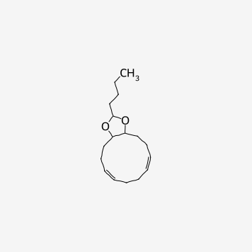 CCCCC1OC2CCC=CCCC=CCCC2O1